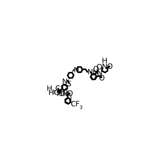 CC(C)(O)c1cc2nc([C@H]3CC[C@H](CN4CCC(CCNc5cccc6c5C(=O)N(C5CCC(=O)NC5=O)C6=O)CC4)CC3)sc2cc1NC(=O)c1cccc(C(F)(F)F)c1